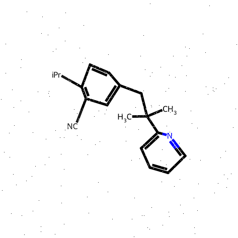 CC(C)c1ccc(CC(C)(C)c2ccccn2)cc1C#N